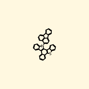 c1ccc2c(c1)-c1cccc3c(-n4c5ccccc5c5c6ccccc6c6sc7ccccc7c6c54)ccc-2c13